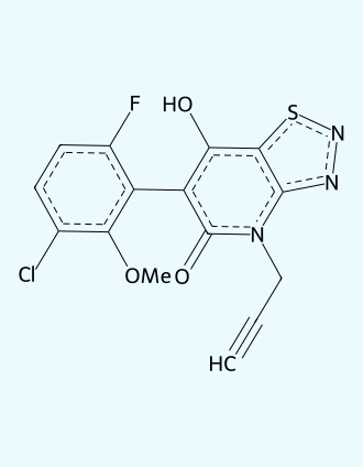 C#CCn1c(=O)c(-c2c(F)ccc(Cl)c2OC)c(O)c2snnc21